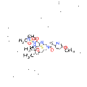 COc1ccc(C2(C(=O)N(CCCc3cc(C)c(C)o3)Cc3nc(C(=O)NS(=O)(=O)N(C)C)c(C)s3)CC2)nc1